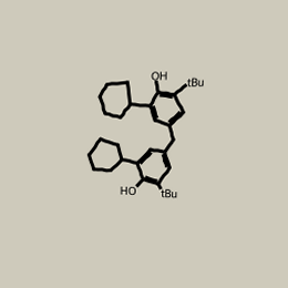 CC(C)(C)c1cc(Cc2cc(C3CCCCC3)c(O)c(C(C)(C)C)c2)cc(C2CCCCC2)c1O